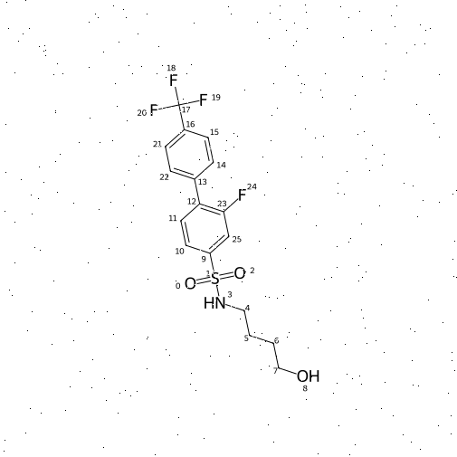 O=S(=O)(NCCCCO)c1ccc(-c2ccc(C(F)(F)F)cc2)c(F)c1